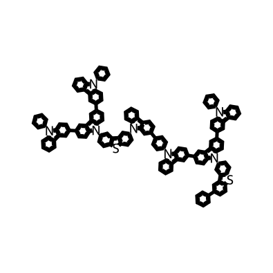 c1ccc(-c2ccc3sc4ccc(-n5c6ccc(-c7ccc8c(c7)c7ccccc7n8-c7ccccc7)cc6c6cc(-c7ccc8c(c7)c7ccccc7n8-c7ccc(-c8ccc9c%10ccccc%10n(-c%10ccc%11sc%12ccc(-n%13c%14ccc(-c%15ccc%16c(c%15)c%15ccccc%15n%16-c%15ccccc%15)cc%14c%14cc(-c%15ccc%16c(c%15)c%15ccccc%15n%16-c%15ccccc%15)ccc%14%13)cc%12c%11c%10)c9c8)cc7)ccc65)cc4c3c2)cc1